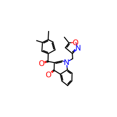 Cc1cc(Cn2cc(C(=O)c3ccc(C)c(C)c3)c(=O)c3ccccc32)no1